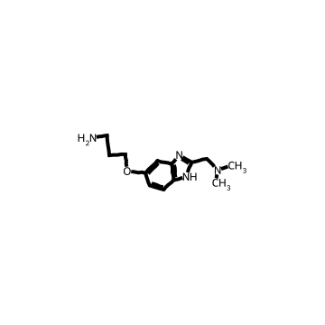 CN(C)Cc1nc2cc(OCCCN)ccc2[nH]1